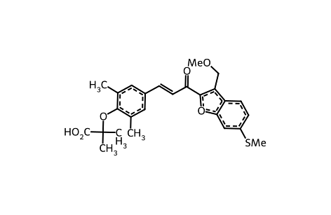 COCc1c(C(=O)/C=C/c2cc(C)c(OC(C)(C)C(=O)O)c(C)c2)oc2cc(SC)ccc12